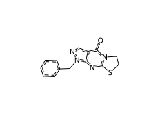 O=c1c2cnn(Cc3ccccc3)c2nc2n1CCS2